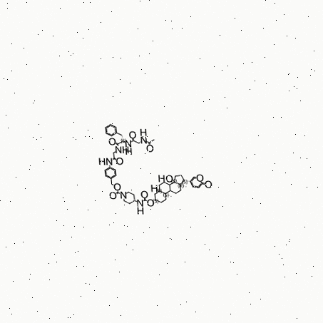 CC(=O)NCC(=O)N[C@@H](Cc1ccccc1)C(=O)NCC(=O)Nc1ccc(COC(=O)N2CCC(NC(=O)O[C@H]3CC[C@]4(C)C5CC[C@]6(C)[C@@H](c7ccc(=O)oc7)CC[C@]6(O)C5CC[C@@H]4C3)CC2)cc1